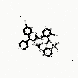 CCCS(=O)(=O)N1CCNC[C@@H]1CCc1c(F)cncc1NC(=O)[C@@H](NC(=O)OC)C(c1ccc(F)cc1)C1CCOCC1